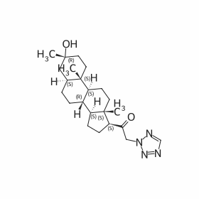 C[C@@]1(O)CC[C@@]2(C)[C@@H](CC[C@@H]3[C@@H]2CC[C@]2(C)[C@@H](C(=O)Cn4ncnn4)CC[C@@H]32)C1